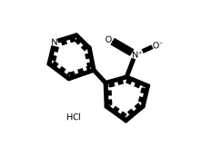 Cl.O=[N+]([O-])c1ccccc1-c1ccncc1